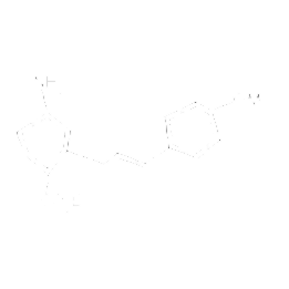 CCOC(=O)c1ccc(N)cc1C/C=C/c1ccc(OC)cc1